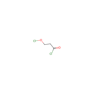 O=C(Cl)CCOCl